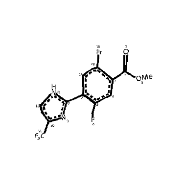 COC(=O)c1cc(F)c(-c2nc(C(F)(F)F)c[nH]2)cc1Br